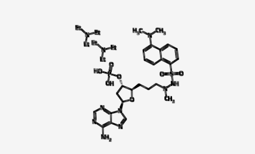 CCN(CC)CC.CCN(CC)CC.CN(CCC[C@H]1O[C@@H](n2cnc3c(N)ncnc32)C[C@@H]1OP(=O)(O)O)NS(=O)(=O)c1cccc2c(N(C)C)cccc12